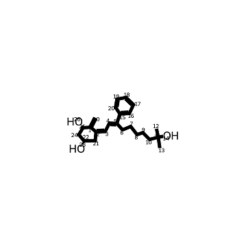 C=C1/C(=C\C=C(/CCCCCC(C)(C)O)c2ccccc2)C[C@@H](O)CC1O